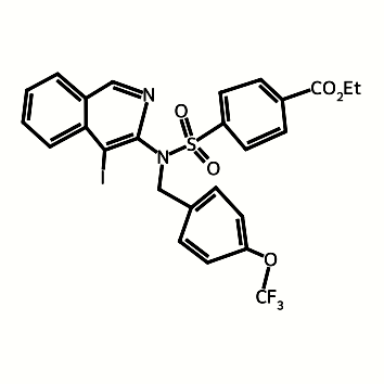 CCOC(=O)c1ccc(S(=O)(=O)N(Cc2ccc(OC(F)(F)F)cc2)c2ncc3ccccc3c2I)cc1